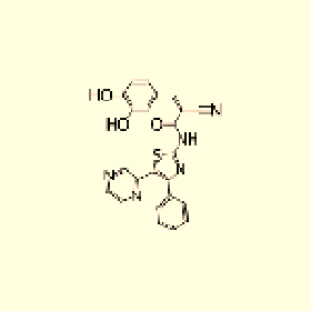 N#CC(=Cc1ccc(O)c(O)c1)C(=O)Nc1nc(-c2ccccc2)c(-c2cnccn2)s1